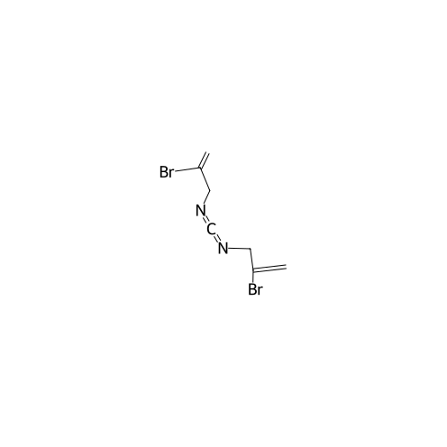 C=C(Br)CN=C=NCC(=C)Br